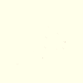 COc1ccc(CNc2nc(N3CCC[C@@H]3CO)nc3[nH]nnc23)c(O)c1O